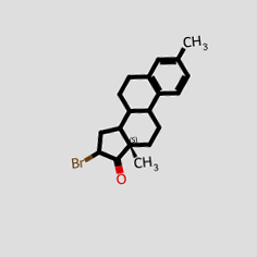 Cc1ccc2c(c1)CCC1C2CC[C@]2(C)C(=O)C(Br)CC12